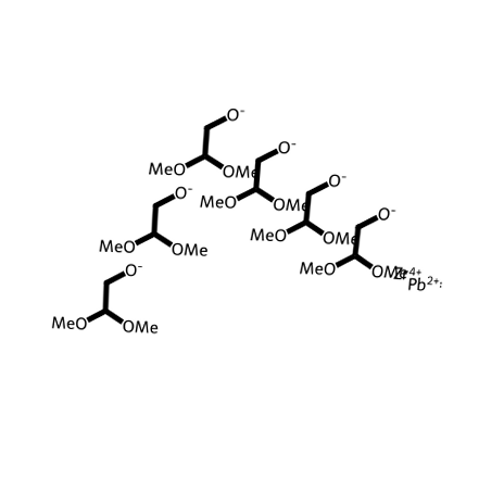 COC(C[O-])OC.COC(C[O-])OC.COC(C[O-])OC.COC(C[O-])OC.COC(C[O-])OC.COC(C[O-])OC.[Pb+2].[Zr+4]